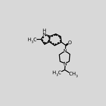 Cc1cc2cc(C(=O)N3CCN(C(C)C)CC3)ccc2[nH]1